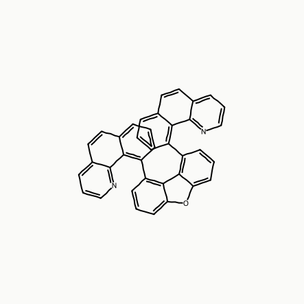 c1cnc2c(c1)ccc1cccc(-c3cccc4oc5cccc(-c6cccc7ccc8cccnc8c67)c5c34)c12